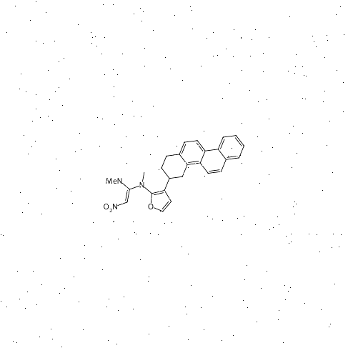 CNC(=C[N+](=O)[O-])N(C)c1occc1C1CCc2ccc3c(ccc4ccccc43)c2C1